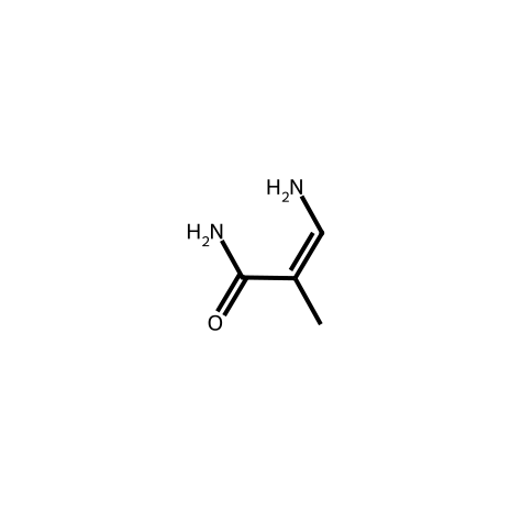 CC(=CN)C(N)=O